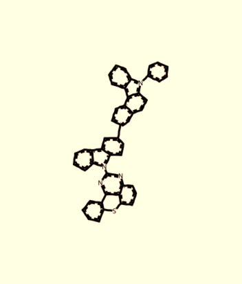 c1ccc(-n2c3ccccc3c3c4ccc(-c5ccc6c(c5)c5ccccc5n6-c5nc6c7c(cccc7n5)Sc5ccccc5-6)cc4ccc32)cc1